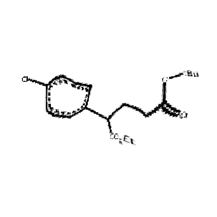 CCOC(=O)C(CCC(=O)OC(C)(C)C)c1ccc(Cl)cc1